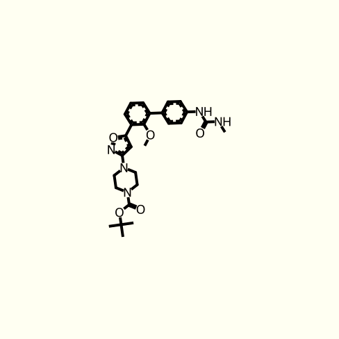 CNC(=O)Nc1ccc(-c2cccc(-c3cc(N4CCN(C(=O)OC(C)(C)C)CC4)no3)c2OC)cc1